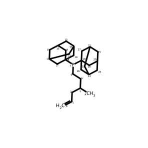 C=CCC(C)CCP(C12CC3CC(CC(C3)C1)C2)C12CC3CC(CC(C3)C1)C2